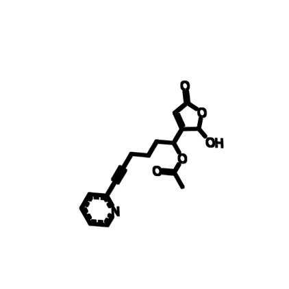 CC(=O)OC(CCCC#Cc1ccccn1)C1=CC(=O)OC1O